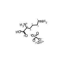 NCCCCC(N)C(=O)O.O=S(=O)([O-])[O-].[Zn+2]